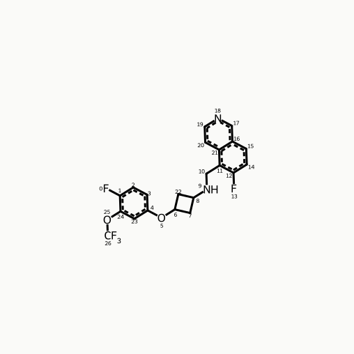 Fc1ccc(OC2CC(NCc3c(F)ccc4cnccc34)C2)cc1OC(F)(F)F